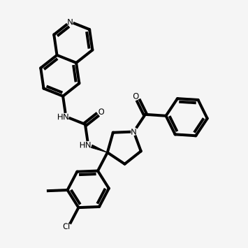 Cc1cc([C@@]2(NC(=O)Nc3ccc4cnccc4c3)CCN(C(=O)c3ccccc3)C2)ccc1Cl